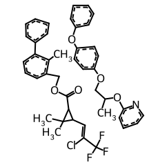 CC(COc1ccc(Oc2ccccc2)cc1)Oc1ccccn1.Cc1c(COC(=O)C2C(/C=C(\Cl)C(F)(F)F)C2(C)C)cccc1-c1ccccc1